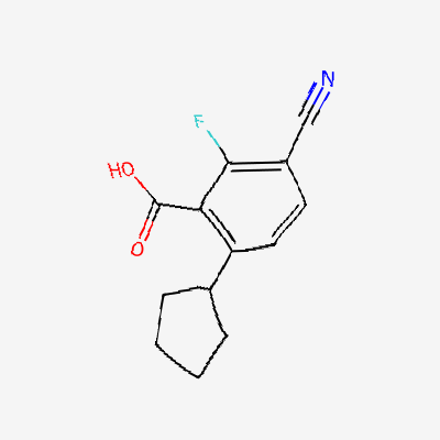 N#Cc1ccc(C2CCCC2)c(C(=O)O)c1F